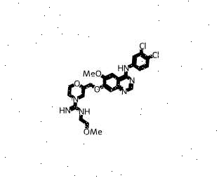 COCCNC(=N)N1CCOC(COc2cc3ncnc(Nc4ccc(Cl)c(Cl)c4)c3cc2OC)C1